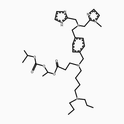 CCCN(CCC)CCCCN(CCC(=O)OC(C)OC(=O)OC(C)C)Cc1ccc(CN(Cc2ncc[nH]2)Cc2nccn2C)cc1